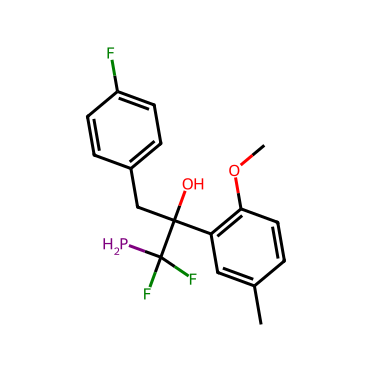 COc1ccc(C)cc1C(O)(Cc1ccc(F)cc1)C(F)(F)P